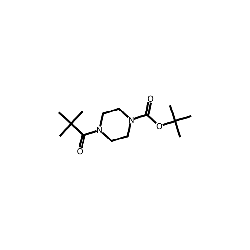 CC(C)(C)OC(=O)N1CCN(C(=O)C(C)(C)C)CC1